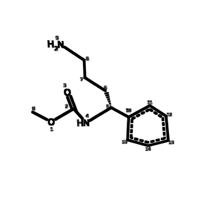 COC(=O)N[C@H](CCCN)c1ccccc1